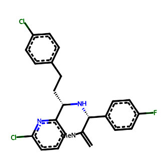 C=C(NC)[C@H](N[C@@H](CCc1ccc(Cl)cc1)c1cccc(Cl)n1)c1ccc(F)cc1